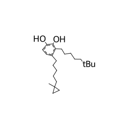 CC(C)(C)CCCCCc1c(CCCCCC2(C)CC2)ccc(O)c1O